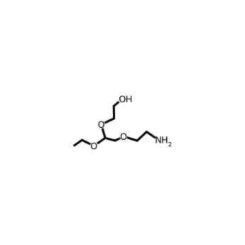 CCOC(COCCN)OCCO